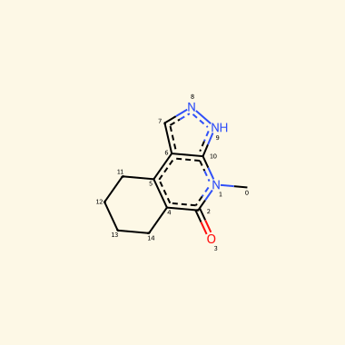 Cn1c(=O)c2c(c3cn[nH]c31)CCCC2